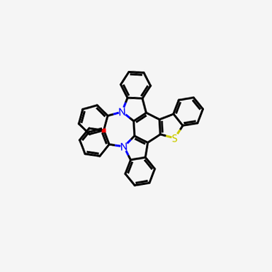 c1ccc(-n2c3ccccc3c3c4sc5ccccc5c4c4c5ccccc5n(-c5ccccc5)c4c32)cc1